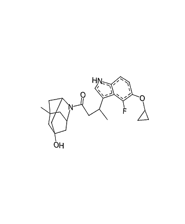 CC(CC(=O)N1C2CC3(C)CC1CC(O)(C2)C3)c1c[nH]c2ccc(OC3CC3)c(F)c12